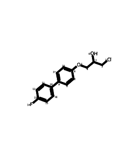 OC(CCl)COc1ccc(-c2ccc(F)cc2)cc1